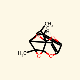 CC1=C2OC34OC5(C(C)=C2OC32OC52C)C1=C4C